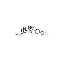 Cc1ccc(-c2nc(-c3cc(C)on3)no2)cc1